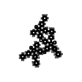 O=C1C(c2ccccc2)=C(c2ccc(Oc3ccc(C4=C(c5ccccc5)C(=O)C(c5ccc(-c6ccccc6)cc5)=C4c4ccc(-c5ccccc5)cc4)cc3)cc2)C(c2ccc(Oc3ccc(C4=C(c5ccccc5)C(=O)C(c5ccc(-c6ccccc6)cc5)=C4c4ccc(-c5ccccc5)cc4)cc3)cc2)=C1c1ccc(-c2ccccc2)cc1